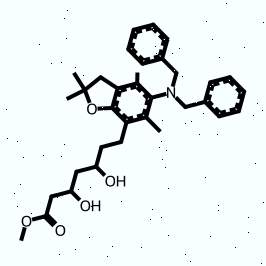 COC(=O)CC(O)CC(O)CCc1c(C)c(N(Cc2ccccc2)Cc2ccccc2)c(C)c2c1OC(C)(C)C2